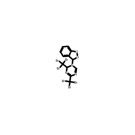 BrC(Br)(Br)C1=NC(C(Br)(Br)Br)N(C2OOc3ccccc32)C=N1